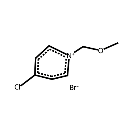 COC[n+]1ccc(Cl)cc1.[Br-]